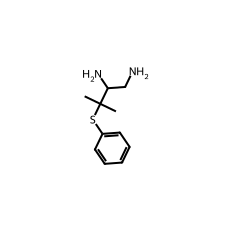 CC(C)(Sc1ccccc1)C(N)CN